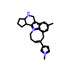 Cc1cc2c3c(c1)c1c(n3CC/C=C(/c3ccn(C)c3)C2)C2CCCC2NC1